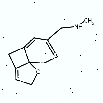 CNCC1=CCC23OCC=C2CC3=C1